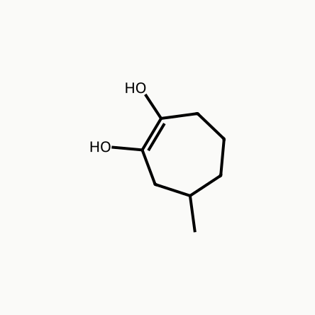 CC1CCCC(O)=C(O)C1